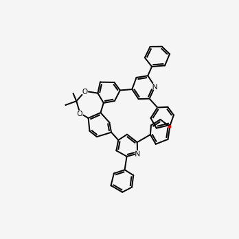 CC1(C)Oc2ccc(-c3cc(-c4ccccc4)nc(-c4ccccc4)c3)cc2-c2cc(-c3cc(-c4ccccc4)nc(-c4ccccc4)c3)ccc2O1